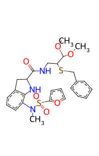 COC(OC)C(CNC(=O)C1Cc2cccc(N(C)S(=O)(=O)c3ccco3)c2N1)SCc1ccccc1